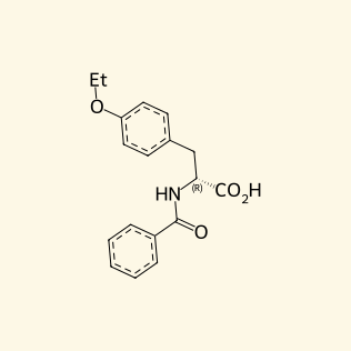 CCOc1ccc(C[C@@H](NC(=O)c2ccccc2)C(=O)O)cc1